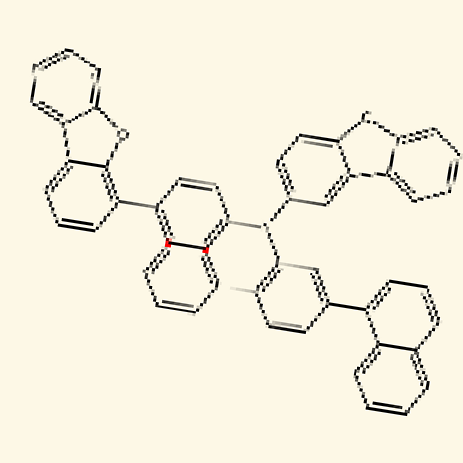 c1ccc(-c2ccc(-c3cccc4ccccc34)cc2N(c2ccc(-c3cccc4c3oc3ccccc34)cc2)c2ccc3oc4ccccc4c3c2)cc1